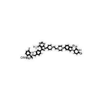 COc1ccc(F)cc1C(C)(O)NCc1ccc(-c2nn(C3CCN(CCN4CCN(c5ccc6c(c5)CN([C@H]5CCC(=O)NC5=O)C6=O)CC4)CC3)c3ncnc(N)c23)cc1